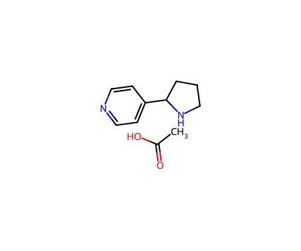 CC(=O)O.c1cc(C2CCCN2)ccn1